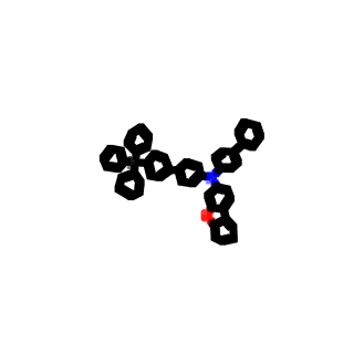 c1ccc(-c2ccc(N(c3ccc(-c4ccc([Si](c5ccccc5)(c5ccccc5)c5ccccc5)cc4)cc3)c3ccc4c(c3)oc3ccccc34)cc2)cc1